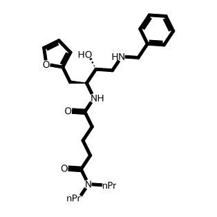 CCCN(CCC)C(=O)CCCC(=O)N[C@@H](Cc1ccco1)[C@H](O)CNCc1ccccc1